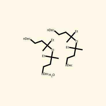 CCCCCCCCCCCCC(C)(CC)OC(C)(CC)CCCCCCCCCCCC.CCCCCCCCCCCCC(C)(CC)OC(C)(CC)CCCCCCCCCCCC.O